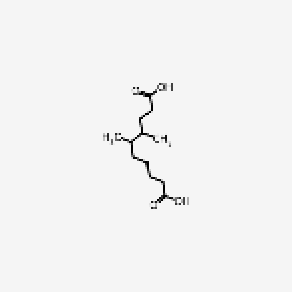 CC(CCCCC(=O)O)C(C)CCC(=O)O